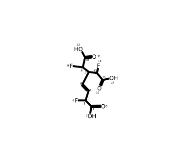 O=C(O)C(F)C=CC(C(F)C(=O)O)C(F)C(=O)O